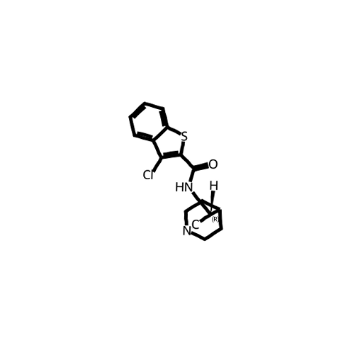 O=C(N[C@H]1CN2CCC1CC2)c1sc2ccccc2c1Cl